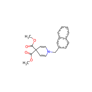 COC(=O)C1(C(=O)OC)C=CN(Cc2ccc3ccccc3c2)C=C1